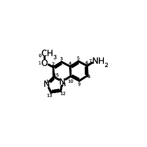 COc1cc2cc(N)ccc2n2ccnc12